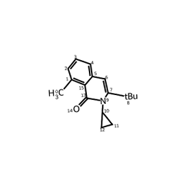 Cc1cccc2cc(C(C)(C)C)n(C3CC3)c(=O)c12